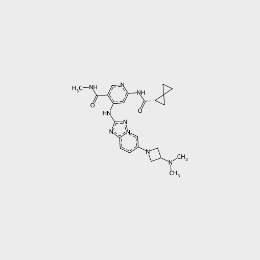 CNC(=O)c1cnc(NC(=O)[C@H]2CC23CC3)cc1Nc1nc2ccc(N3CC(N(C)C)C3)cn2n1